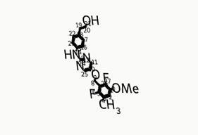 COc1cc(C)c(F)c(COc2cnc(Nc3ccc(CCO)cc3)nc2)c1F